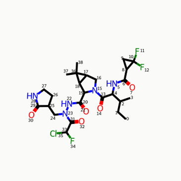 CCC(C)C(NC(=O)C1CC1(F)F)C(=O)N1CC2C(C1C(=O)NN(CC1CCNC1=O)C(=O)C(F)Cl)C2(C)C